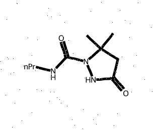 CCCNC(=O)N1NC(=O)CC1(C)C